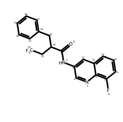 O=C(Nc1cnc2c(F)cccc2c1)C(Cc1ccccc1)CC(F)(F)F